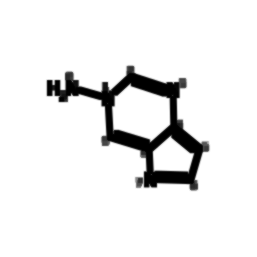 Nn1cnc2ccnc-2c1